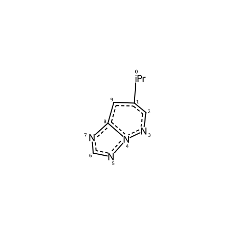 CC(C)c1cnn2ncnc2c1